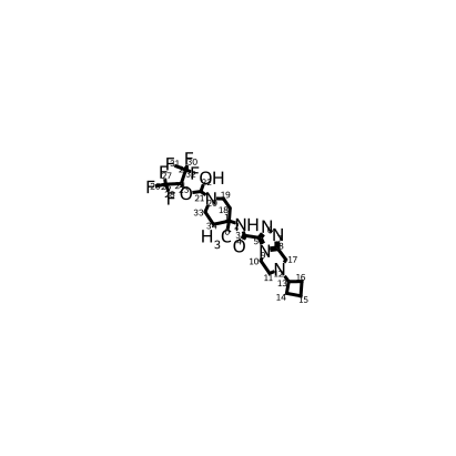 CC1(NC(=O)c2nnc3n2CCN(C2CCC2)C3)CCN(C(O)OC(C(F)(F)F)C(F)(F)F)CC1